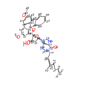 COc1ccc(C(OC[C@H]2O[C@@H](n3cnc4c(=O)n(CC=C(C)CCC=C(C)C)cnc43)C[C@@H]2O)(c2ccccc2)c2ccc(OC)cc2)cc1